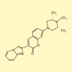 C[C@@H]1CN(c2ccc3cc(-c4cn5ccccc5n4)c(=O)oc3c2)C[C@H](C)N1C